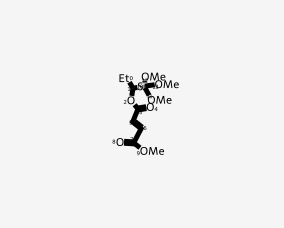 CCC(OC(=O)C=CC(=O)OC)[Si](OC)(OC)OC